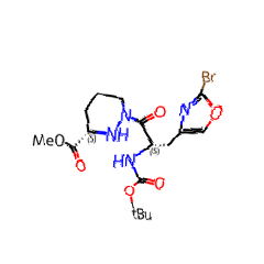 COC(=O)[C@@H]1CCCN(C(=O)[C@H](Cc2coc(Br)n2)NC(=O)OC(C)(C)C)N1